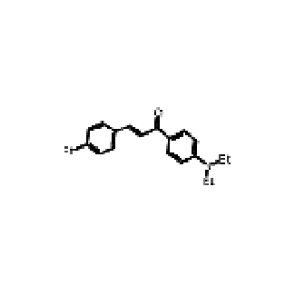 CCc1ccc(C=CC(=O)c2ccc(N(CC)CC)cc2)cc1